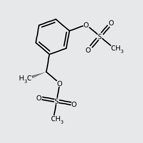 C[C@@H](OS(C)(=O)=O)c1cccc(OS(C)(=O)=O)c1